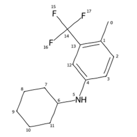 Cc1ccc(NC2CCCCC2)cc1C(F)(F)F